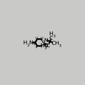 CC(C)(C)N=S1(=O)CCC(N)CC1